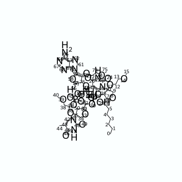 CCCCCCC[C@H]1OCC(OCCOC)(n2cc(C)c(=O)[nH]c2=O)C1OP(=O)(O)OC[C@H]1OCC(OCCOC)(n2cc(C)c(=O)[nH]c2=O)C1OP(=O)(O)OC[C@H]1O[C@@H](n2cnc3c(N)ncnc32)C(OCCOC)C1O[PH](=O)S